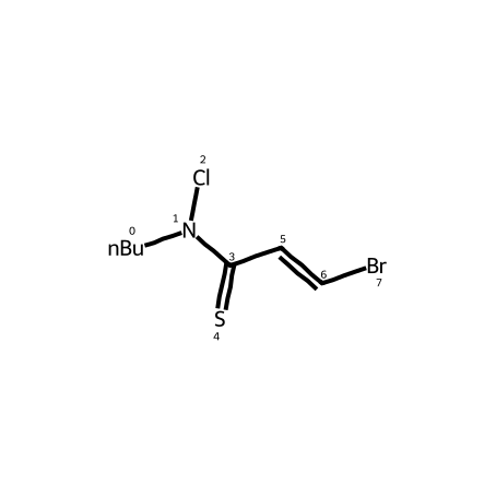 CCCCN(Cl)C(=S)/C=C/Br